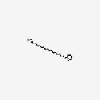 C#CCCCCCCCCCCCCCCCCOC1CCCCO1